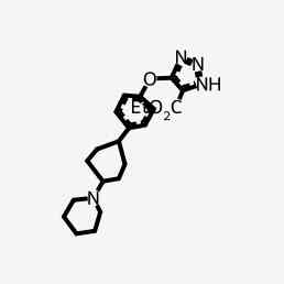 CCOC(=O)c1[nH]nnc1Oc1ccc(C2CCC(N3CCCCC3)CC2)cc1